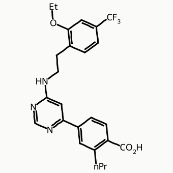 CCCc1cc(-c2cc(NCCc3ccc(C(F)(F)F)cc3OCC)ncn2)ccc1C(=O)O